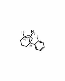 CN1[C@@H]2CCC[C@@]1(c1ccccc1I)CC2